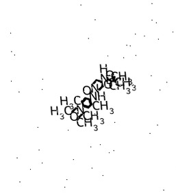 Cc1cc(N2CC(C)OC(C)C2C)c(C)cc1NC(=O)N1CCC(NS(=O)(=O)C(C)(C)C)CC1